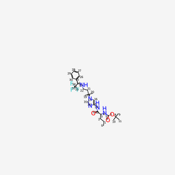 CCCC(NC(=O)OC(C)(C)C)C(=O)Nc1cn(C(C)(C)CCNC(c2ccccc2)C(F)(F)F)cn1